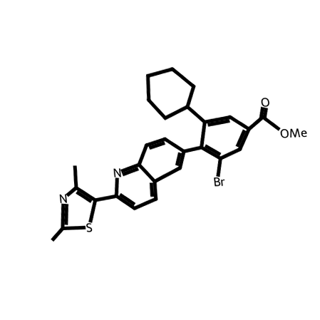 COC(=O)c1cc(Br)c(-c2ccc3nc(-c4sc(C)nc4C)ccc3c2)c(C2CCCCC2)c1